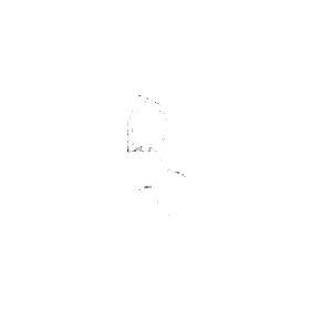 COC(=O)N(F)c1cc[c]cc1